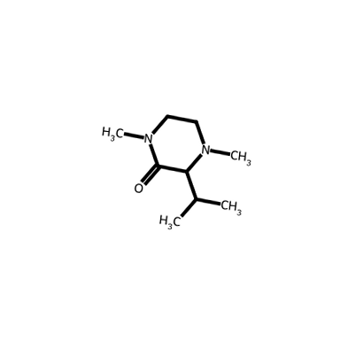 CC(C)C1C(=O)N(C)CCN1C